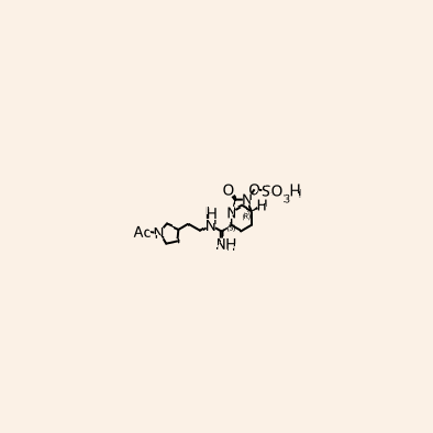 CC(=O)N1CCC(CCNC(=N)[C@@H]2CC[C@@H]3CN2C(=O)N3OS(=O)(=O)O)C1